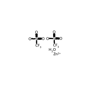 O.O=S(=O)([O-])C(F)(F)F.O=S(=O)([O-])C(F)(F)F.[Zn+2]